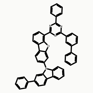 c1ccc(-c2cccc(-c3nc(-c4ccccc4)nc(-c4cccc5c4oc4cc(-n6c7ccccc7c7ccc(-c8ccccc8)cc76)ccc45)n3)c2)cc1